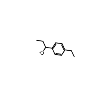 CCc1ccc(C([O])CC)cc1